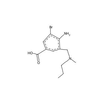 CCCN(C)Cc1cc(C(=O)O)cc(Br)c1N